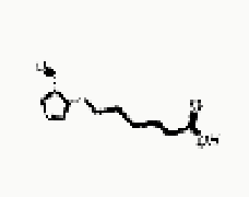 O=C[C@H]1CSC[C@H]1CCCCCCC(=O)O